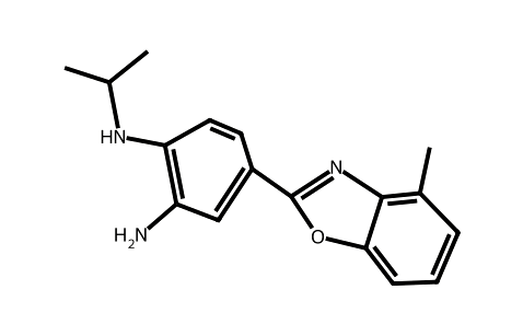 Cc1cccc2oc(-c3ccc(NC(C)C)c(N)c3)nc12